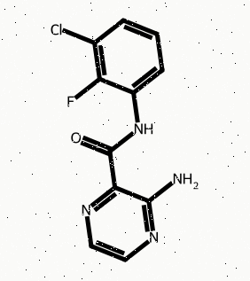 Nc1nccnc1C(=O)Nc1cccc(Cl)c1F